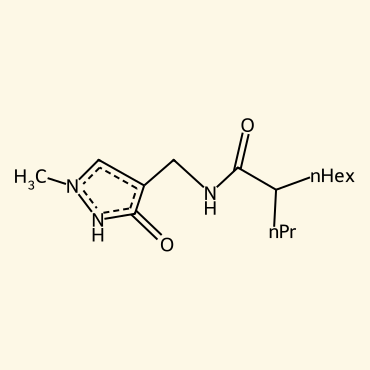 CCCCCCC(CCC)C(=O)NCc1cn(C)[nH]c1=O